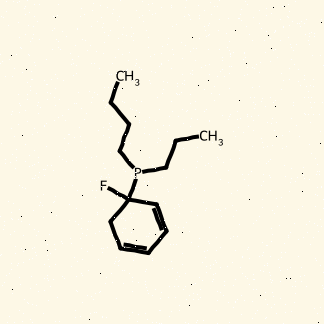 CCCCP(CCC)C1(F)C=CC=CC1